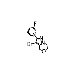 FC1=CN(c2nn3c(c2Br)COCC3)C=C=C1